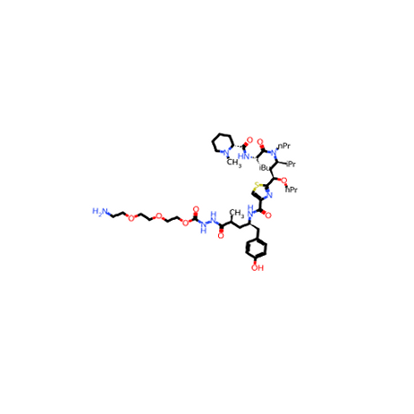 CCCO[C@H](C[C@H](C(C)C)N(CCC)C(=O)[C@@H](NC(=O)[C@H]1CCCCN1C)[C@@H](C)CC)c1nc(C(=O)N[C@@H](Cc2ccc(O)cc2)C[C@H](C)C(=O)NNC(=O)OCCOCCOCCN)cs1